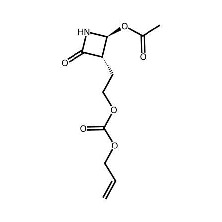 C=CCOC(=O)OCC[C@@H]1C(=O)N[C@H]1OC(C)=O